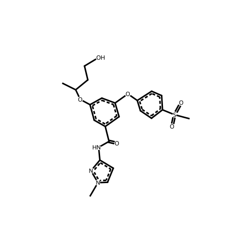 CC(CCO)Oc1cc(Oc2ccc(S(C)(=O)=O)cc2)cc(C(=O)Nc2ccn(C)n2)c1